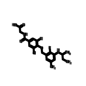 CCC(C)Nc1cc(C)cc(COc2c(Cl)cc(C(=O)NCC(=O)O)cc2Cl)c1F